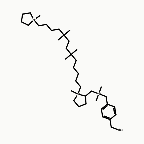 CC(C)(C)Cc1ccc(C[N+](C)(C)CC2CCC[N+]2(C)CCCCCC(C)(C)CCC(C)(C)CCCC[N+]2(C)CCCC2)cc1